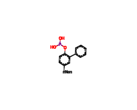 CCCCCCCCCc1ccc(OP(O)O)c(-c2ccccc2)c1